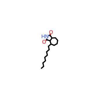 CCCCCCCCCC1CCCCC2C(=O)NC(=O)C12